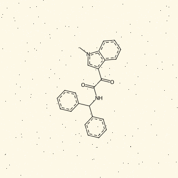 Cn1cc(C(=O)C(=O)NC(c2ccccc2)c2ccccc2)c2ccccc21